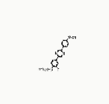 CCCCCCCCCc1ccc(-c2cnc(-c3ccc(OCCCCCCC)c(F)c3)cn2)cc1